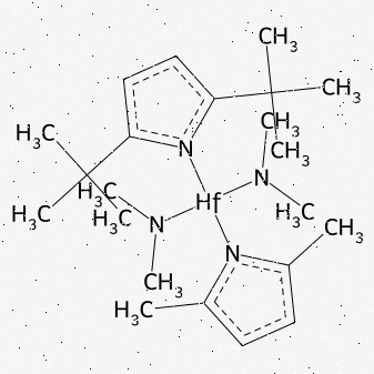 Cc1ccc(C)[n]1[Hf]([N](C)C)([N](C)C)[n]1c(C(C)(C)C)ccc1C(C)(C)C